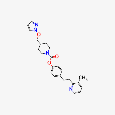 Cc1cccnc1CCc1ccc(OC(=O)N2CCC(COn3cccn3)CC2)cc1